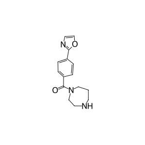 O=C(c1ccc(-c2ncco2)cc1)N1CCCNCC1